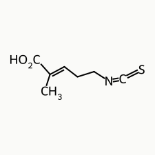 CC(=CCCN=C=S)C(=O)O